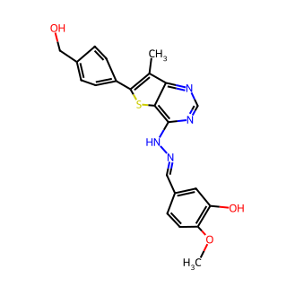 COc1ccc(C=NNc2ncnc3c(C)c(-c4ccc(CO)cc4)sc23)cc1O